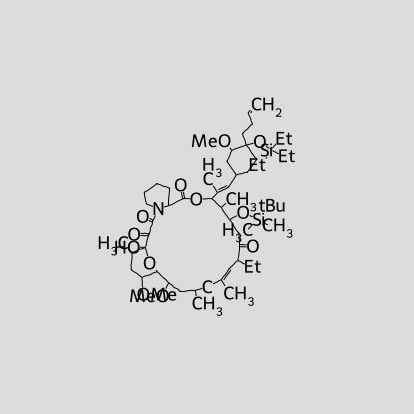 C=CCCC1(O[Si](CC)(CC)CC)CCC(C=C(C)C2OC(=O)C3CCCCN3C(=O)C(=O)C3(O)OC(C(OC)CC(C)C/C(C)=C/C(CC)C(=O)CC(O[Si](C)(C)C(C)(C)C)C2C)C(OC)CC3C)CC1OC